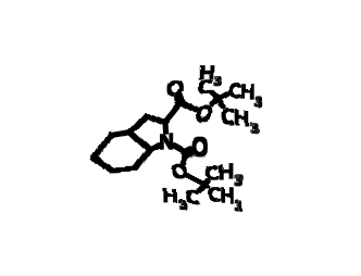 CC(C)(C)OC(=O)C1CC2CCCCC2N1C(=O)OC(C)(C)C